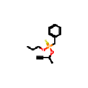 C#CC(C)OP(=S)(Cc1ccccc1)OCCC